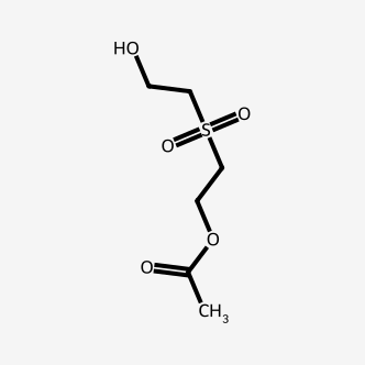 CC(=O)OCCS(=O)(=O)CCO